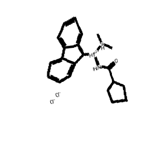 C[SiH](C)[Hf+2]([NH]C(=O)C1CCCC1)[CH]1c2ccccc2-c2ccccc21.[Cl-].[Cl-]